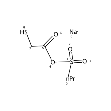 CCCS(=O)(=O)OC(=O)CS.[Na]